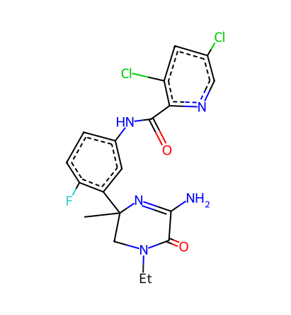 CCN1CC(C)(c2cc(NC(=O)c3ncc(Cl)cc3Cl)ccc2F)N=C(N)C1=O